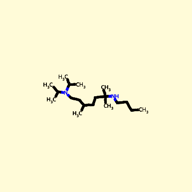 CCCCNC(C)(C)CCC(C)CCN(C(C)C)C(C)C